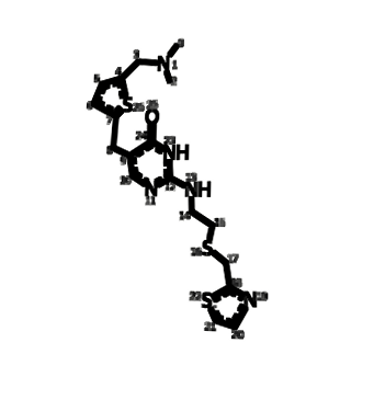 CN(C)Cc1ccc(Cc2cnc(NCCSCc3nccs3)[nH]c2=O)s1